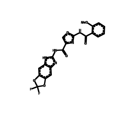 COc1ccccc1C(=O)Nc1nc(C(=O)Nc2nc3cc4c(cc3[nH]2)OC(F)(F)O4)co1